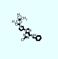 CC(C)(C)OC(=O)N1CCC(n2cnc3c(NCc4ccccc4)nc(Cl)nc32)C1